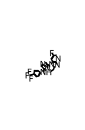 CCc1nc2ncc(F)cc2n1-c1cncc(Nc2ccc(C(F)(F)F)cc2)n1